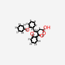 O=C(O)Cc1c(-c2ccccc2Oc2ccccc2)oc2ccccc2c1=O